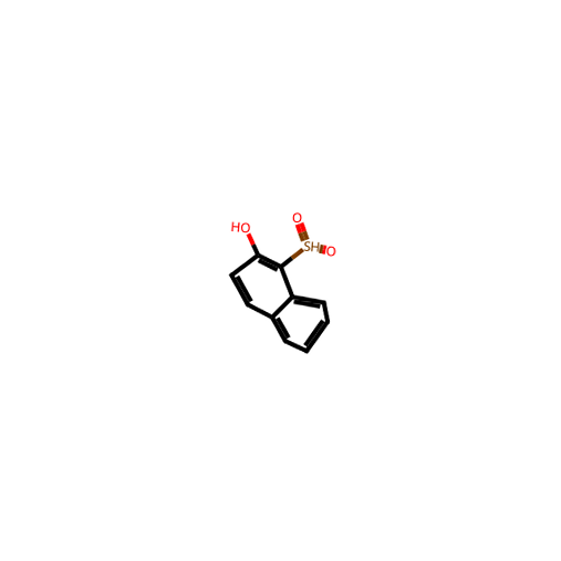 O=[SH](=O)c1c(O)ccc2ccccc12